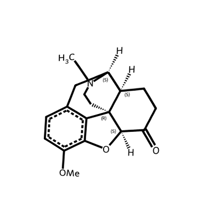 COc1ccc2c3c1O[C@@H]1C(=O)CC[C@@H]4[C@H](C2)N(C)CC[C@@]314